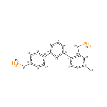 Cc1ccc(-c2cccc(-c3ccc(CP)cc3)c2)c(CP)c1